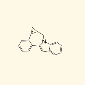 C1=C2c3ccccc3-c3cc4ccccc4n3CC12